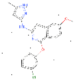 COc1ccc2c(Oc3cccc(Cl)c3)nc(Nc3cc(C)[nH]n3)cc2c1